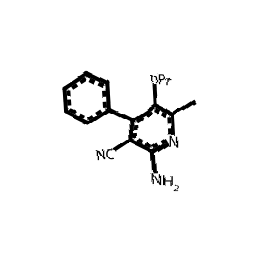 CCCc1c(C)nc(N)c(C#N)c1-c1ccccc1